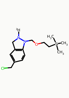 [2H]N1Cc2cc(CCl)ccc2N1COCC[Si](C)(C)C